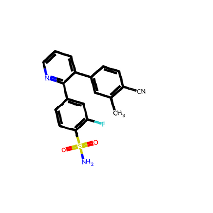 Cc1cc(-c2cccnc2-c2ccc(S(N)(=O)=O)c(F)c2)ccc1C#N